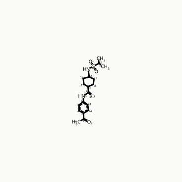 CC(=O)c1ccc(NC(=O)C2CCC(NS(=O)(=O)C(C)C)CC2)cc1